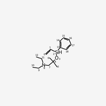 C=C[SiH](OC(C)(C)CN(CC)CC)c1ccccc1